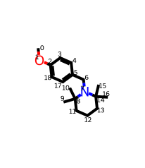 COc1ccc(CN2C(C)(C)CCCC2(C)C)cc1